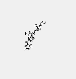 CC(C)(C)OC(=O)NCC[C@H](N)c1nc(Cc2ccccc2)no1